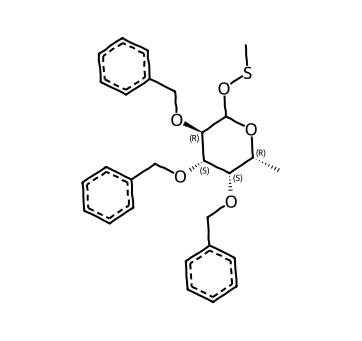 CSOC1O[C@H](C)[C@H](OCc2ccccc2)[C@H](OCc2ccccc2)[C@H]1OCc1ccccc1